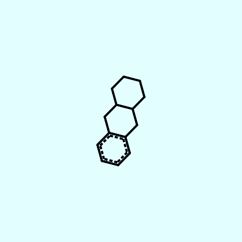 c1ccc2c(c1)CC1CCCCC1C2